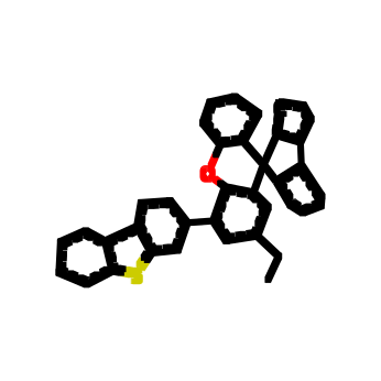 CCc1cc(-c2ccc3c(c2)sc2ccccc23)c2c(c1)C1(c3ccccc3O2)c2ccccc2-c2ccccc21